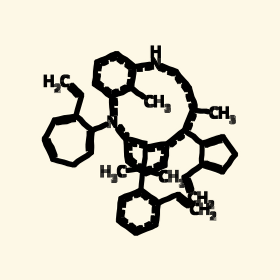 C=CC1=CCC=C1c1c(C)cc[nH]c2cccc(c2C)n(C2=CCC=CC=C2C=C)c2cccc1c2C(C)(C)c1ccccc1C=C